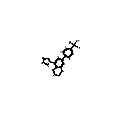 FC(F)(F)c1ccc(-c2cc3c(c(N4CCCC4)c2)CCCC3)cc1